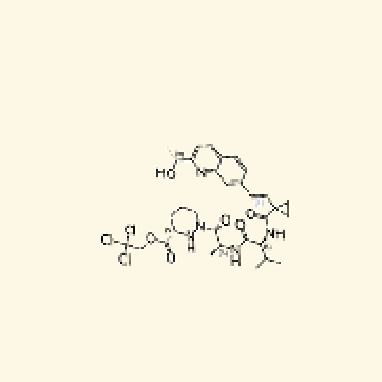 CC(C)[C@H](NC(=O)C1(/C=C/c2ccc3ccc([C@@H](C)O)nc3c2)CC1)C(=O)N[C@@H](C)C(=O)N1CCC[C@@H](C(=O)OCC(Cl)(Cl)Cl)N1